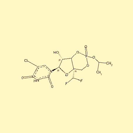 CC(C)OP1(=O)OC[C@@]2(C(F)F)O[C@@H](n3cc(Cl)c(=O)[nH]c3=O)[C@H](O)C2O1